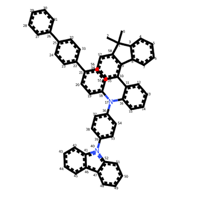 CC1(C)c2ccccc2-c2c(-c3ccccc3N(c3ccc(-c4ccc(-c5ccccc5)cc4)cc3)c3ccc(-n4c5ccccc5c5ccccc54)cc3)cccc21